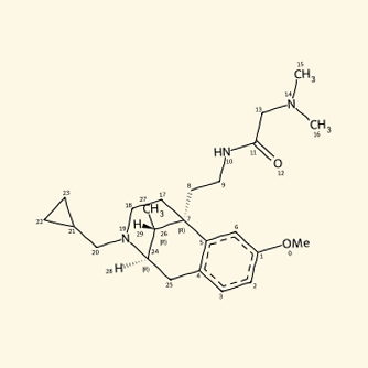 COc1ccc2c(c1)[C@]1(CCNC(=O)CN(C)C)CCN(CC3CC3)[C@H](C2)[C@@H]1C